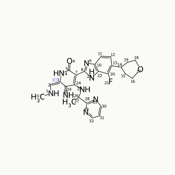 CN/C=C1/NC(=O)C(c2nc3ccc(C4CCOCC4)c(F)c3[nH]2)=C(NC(C)c2ncccn2)C1=N